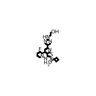 Nc1c([S@+]([O-])C2CCC2)sc2nc(-c3cnc(NCCO)nc3)cc(-c3ncccc3F)c12